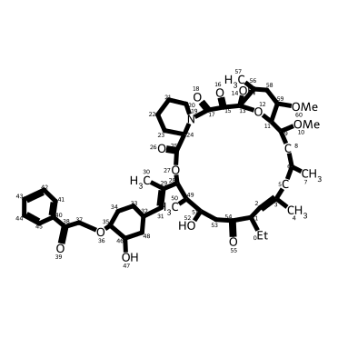 CCC1/C=C(\C)CC(C)CC(OC)C2OC(O)(C(=O)C(=O)N3CCCCC3C(=O)OC(C(C)=CC3CCC(OCC(=O)c4ccccc4)C(O)C3)C(C)C(O)CC1=O)C(C)CC2OC